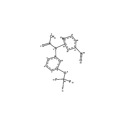 CC(=O)N(c1cccc(OC(F)(F)F)c1)c1cc(N=O)ccn1